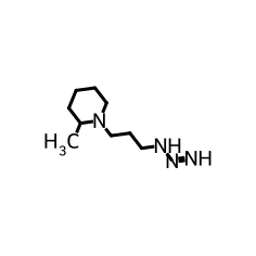 CC1CCCCN1CCCNN=N